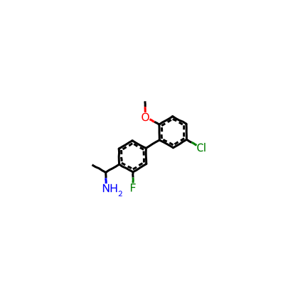 COc1ccc(Cl)cc1-c1ccc(C(C)N)c(F)c1